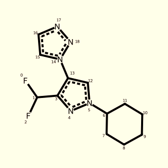 FC(F)c1nn(C2CCCCC2)cc1-n1ccnn1